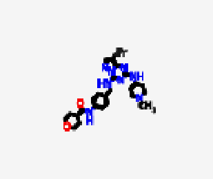 CC(C)c1cnn2c(NCc3ccc(NC(=O)C4CCOCC4)cc3)nc(NC3CCN(C)CC3)nc12